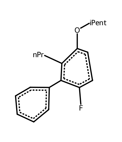 CCCc1c(OC(C)CCC)ccc(F)c1-c1ccccc1